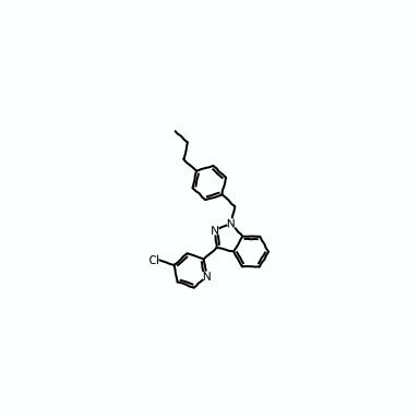 CCCc1ccc(Cn2nc(-c3cc(Cl)ccn3)c3ccccc32)cc1